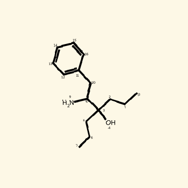 CCCC(O)(CCC)C(N)Cc1ccccc1